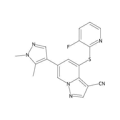 Cc1c(-c2cc(Sc3ncccc3F)c3c(C#N)cnn3c2)cnn1C